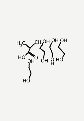 CC(C)C(=O)O.OCCO.OCCO.OCCO.OCCO